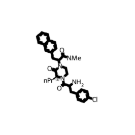 CCC[C@H]1C(=O)N(C(Cc2ccc3ccccc3c2)C(=O)NC)CCN1C(=O)C(N)Cc1ccc(Cl)cc1